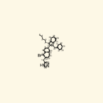 CCCCCc1c(-c2ccc3c(Br)c([CH]c4nnn[nH]4)ccc3c2)n(Cc2ccccc2)c2ccccc12